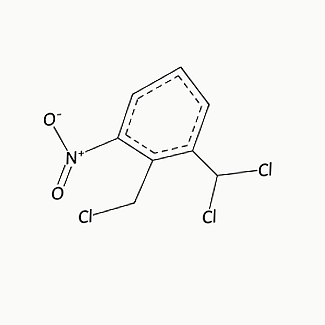 O=[N+]([O-])c1cccc(C(Cl)Cl)c1CCl